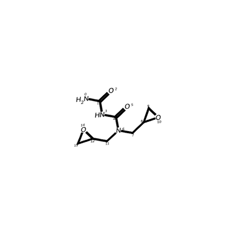 NC(=O)NC(=O)N(CC1CO1)CC1CO1